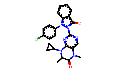 CC1C(=O)N(C)c2cnc(-n3c(=O)c4ccccc4n3-c3ccc(Cl)cc3)nc2N1C1CC1